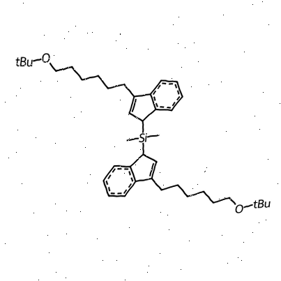 CC(C)(C)OCCCCCCC1=CC([Si](C)(C)C2C=C(CCCCCCOC(C)(C)C)c3ccccc32)c2ccccc21